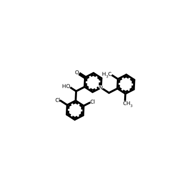 Cc1cccc(C)c1Cn1ccc(=O)c(C(O)c2c(Cl)cccc2Cl)c1